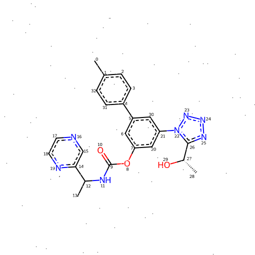 Cc1ccc(-c2cc(OC(=O)NC(C)c3cnccn3)cc(-n3nnnc3[C@H](C)O)c2)cc1